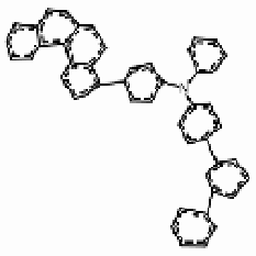 c1ccc(-c2cccc(-c3ccc(N(c4ccccc4)c4ccc(-c5cccc6c5ccc5ccc7ccccc7c56)cc4)cc3)c2)cc1